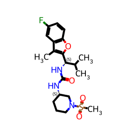 Cc1c([C@@H](NC(=O)N[C@H]2CCCN(S(C)(=O)=O)C2)C(C)C)oc2ccc(F)cc12